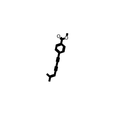 COC(=O)c1ccc(C#CC#CC=C(C)C)cc1